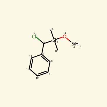 C[Si](C)(O[SiH3])C(Cl)c1ccccc1